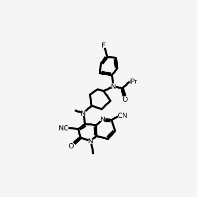 CC(C)C(=O)N(c1ccc(F)cc1)C1CCC(N(C)c2c(C#N)c(=O)n(C)c3ccc(C#N)nc23)CC1